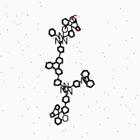 c1ccc(-c2nc(-c3ccc(-c4ccc5c6ccc(-c7cccc(-c8nc(-c9ccc(-c%10ccc%11c(c%10)C%10(c%12ccccc%12O%11)c%11ccccc%11-c%11ccccc%11%10)cc9)nc(-c9ccc(-n%10c%11ccccc%11c%11ccccc%11%10)cc9)n8)c7)cc6c6ccccc6c5c4)cc3)nc(-c3cccc4c3Oc3ccccc3C43c4ccccc4-c4ccccc43)n2)cc1